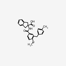 COc1ccc(C(=O)NC2(C(=O)O)Cc3ccccc3C2)cc1Cc1ccc(C)cc1